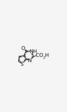 O=C(O)c1nc2sccc2c(=O)[nH]1